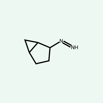 N=NC1CCC2CC21